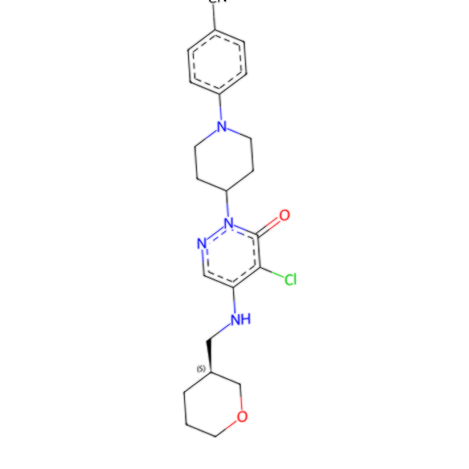 N#Cc1ccc(N2CCC(n3ncc(NC[C@@H]4CCCOC4)c(Cl)c3=O)CC2)cc1